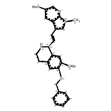 COc1cnc2c(c1)c(/C=C/[C@@H]1NCCc3cc(OCc4ccccc4)c(OC)cc31)cn2C